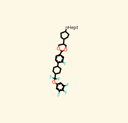 CCCCCCCC1CCC(C2COC(c3ccc(C4CCC(C(F)(F)Oc5cc(F)c(F)c(F)c5)CC4)c(F)c3)OC2)CC1